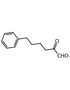 O=CC(=O)CCCCc1ccccc1